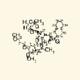 COCCCOc1cc(C(=O)N(C[C@@H]2CN(C(=O)OC(C)(C)C)C[C@H]2CN(C)C(=O)[C@@H]2CCc3ccccc3C2)C(C)C)ccc1OC